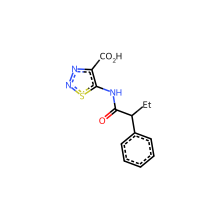 CCC(C(=O)Nc1snnc1C(=O)O)c1ccccc1